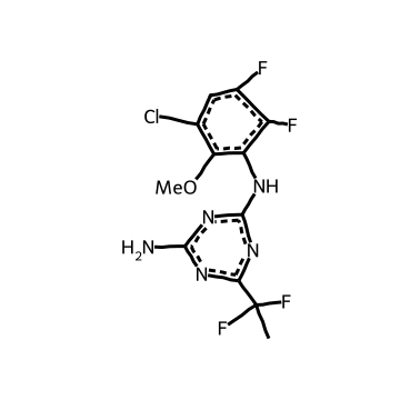 COc1c(Cl)cc(F)c(F)c1Nc1nc(N)nc(C(C)(F)F)n1